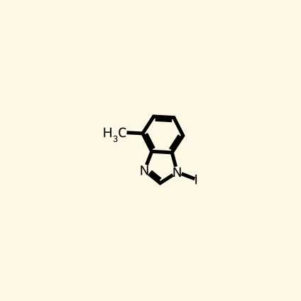 Cc1cccc2c1ncn2I